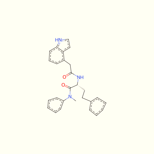 CN(C(=O)[C@@H](CCc1ccccc1)NC(=O)Cc1cccc2[nH]ccc12)c1ccccc1